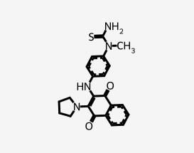 CN(C(N)=S)c1ccc(NC2=C(N3CCCC3)C(=O)c3ccccc3C2=O)cc1